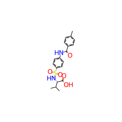 Cc1ccc(C(=O)Nc2ccc(S(=O)(=O)N[C@H](C(=O)O)C(C)C)cc2)cc1